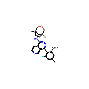 COc1cc(C)cc(F)c1-c1nnc(NC2[C@@H]3CC[C@H]2COC3)c2ccncc12